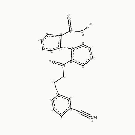 C#Cc1cccc(CCC(=O)c2ccccc2-c2ccccc2C(=O)OI)c1